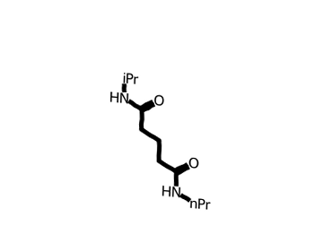 CCCNC(=O)CCCC(=O)NC(C)C